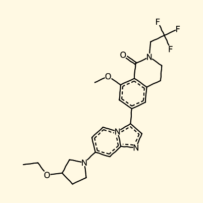 CCOC1CCN(c2ccn3c(-c4cc5c(c(OC)c4)C(=O)N(CC(F)(F)F)CC5)cnc3c2)C1